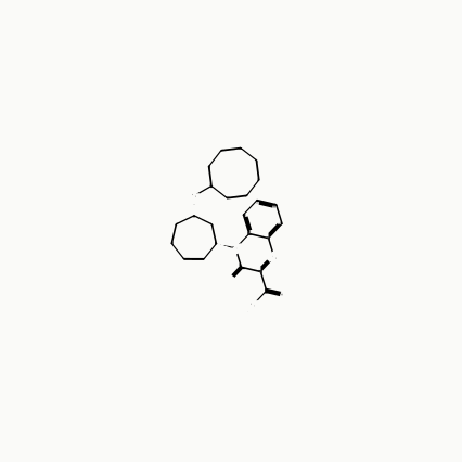 NC(=O)c1nc2ccccc2n([C@H]2CCCC[C@H](NC3CCCCCCC3)C2)c1=O